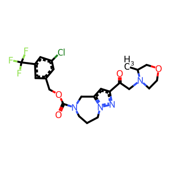 CC1COCCN1CC(=O)c1cc2n(n1)CCCN(C(=O)OCc1cc(Cl)cc(C(F)(F)F)c1)C2